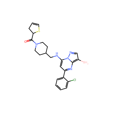 Bc1cnn2c(NCC3CCN(C(=O)C4CC=CS4)CC3)cc(-c3ccccc3Cl)nc12